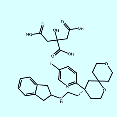 Fc1ccc([C@]2(CCNC3Cc4ccccc4C3)CCOC3(CCOCC3)C2)nc1.O=C(O)CC(O)(CC(=O)O)C(=O)O